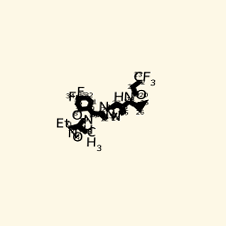 CCc1noc(C)c1C(=O)N[C@H](c1cn2ncc(C(NC(=O)CCC(F)(F)F)C3CC3)cc2n1)C1CCC(F)(F)CC1